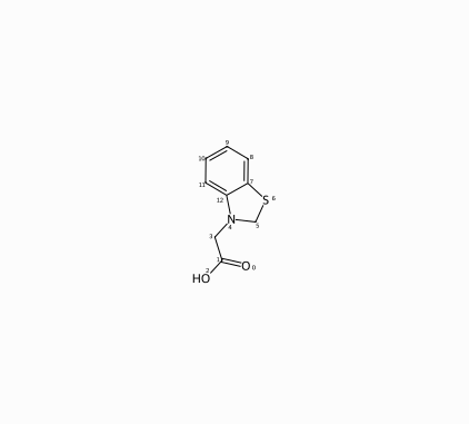 O=C(O)CN1CSc2ccccc21